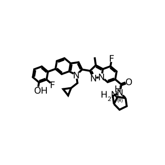 Cc1c(-c2cc3ccc(-c4cccc(O)c4F)cc3n2CC2CC2)nn2cc(C(=O)N3CC4CCC3[C@@H]4N)cc(F)c12